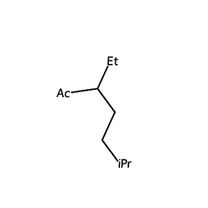 CCC(CCC(C)C)C(C)=O